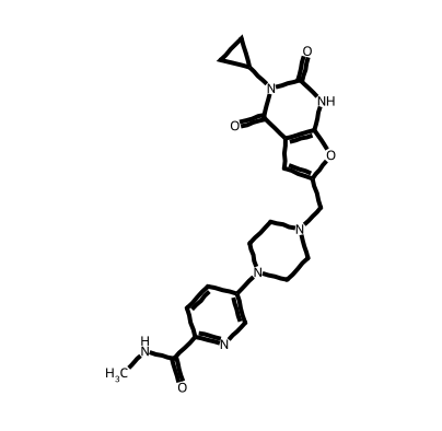 CNC(=O)c1ccc(N2CCN(Cc3cc4c(=O)n(C5CC5)c(=O)[nH]c4o3)CC2)cn1